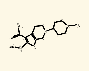 CN1CCC(N2CCc3c(sc(NC=O)c3C(N)=O)C2)CC1